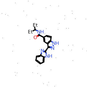 CCC(CC)NC(=O)c1ccc2[nH]nc(-c3nc4ccccc4[nH]3)c2c1